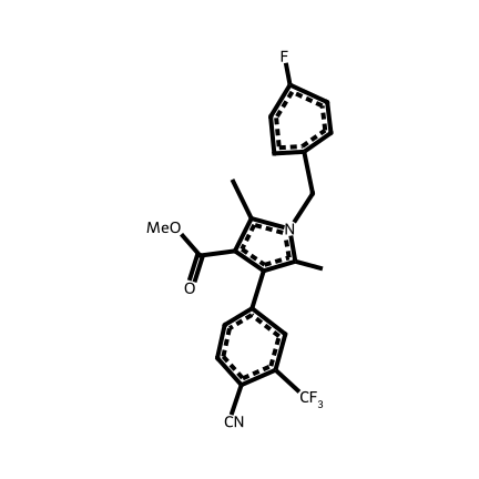 COC(=O)c1c(-c2ccc(C#N)c(C(F)(F)F)c2)c(C)n(Cc2ccc(F)cc2)c1C